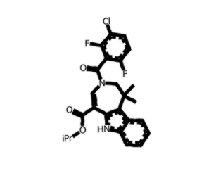 CC(C)OC(=O)C1=CN(C(=O)c2c(F)ccc(Cl)c2F)CC(C)(C)c2c1[nH]c1ccccc21